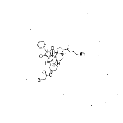 CC(C)CCC[C@@H](C)C1CC[C@H]2[C@@]34C=C[C@@H](C5C[C@@H](OC(=O)CBr)CC[C@]5(C)[C@H]3CC[C@]12C)n1c(=O)n(-c2ccccc2)c(=O)n14